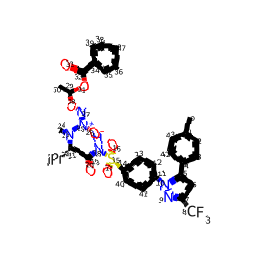 Cc1ccc(-c2cc(C(F)(F)F)nn2-c2ccc(S(=O)(=O)NC(=O)[C@H](C(C)C)N(C)/[N+]([O-])=N\OC(C)OC(=O)c3ccccc3)cc2)cc1